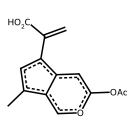 C=C(C(=O)O)c1cc(C)c2coc(OC(C)=O)cc1-2